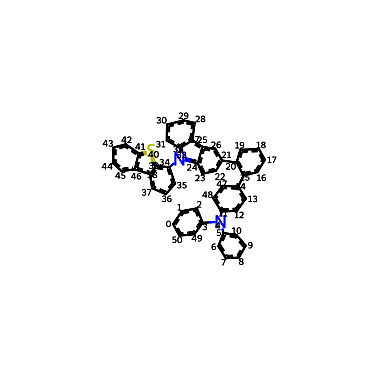 c1ccc(N(c2ccccc2)c2ccc(-c3ccccc3-c3ccc4c(c3)c3ccccc3n4-c3cccc4c3sc3ccccc34)cc2)cc1